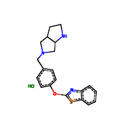 Cl.c1ccc2sc(Oc3ccc(CN4CC5CCNC5C4)cc3)nc2c1